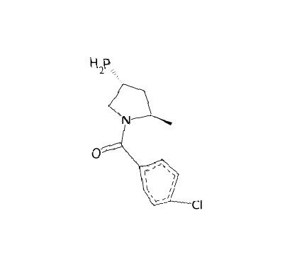 C[C@@H]1C[C@@H](P)CN1C(=O)c1ccc(Cl)cc1